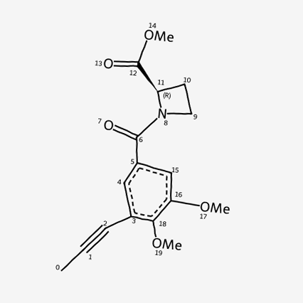 CC#Cc1cc(C(=O)N2CC[C@@H]2C(=O)OC)cc(OC)c1OC